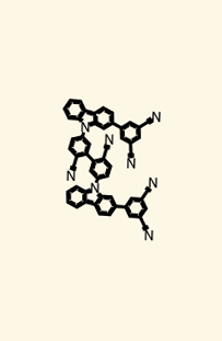 N#Cc1cc(C#N)cc(-c2ccc3c4ccccc4n(-c4ccc(C#N)c(-c5cc(-n6c7ccccc7c7ccc(-c8cc(C#N)cc(C#N)c8)cc76)ccc5C#N)c4)c3c2)c1